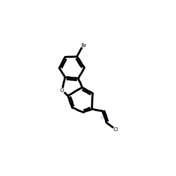 Cl/C=C/c1ccc2oc3ccc(Br)cc3c2c1